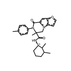 Cc1ccc(N2C(=O)c3cc4occc4n3CC2(C)C(=O)N[C@@H]2CCCC(C)C2C)cc1